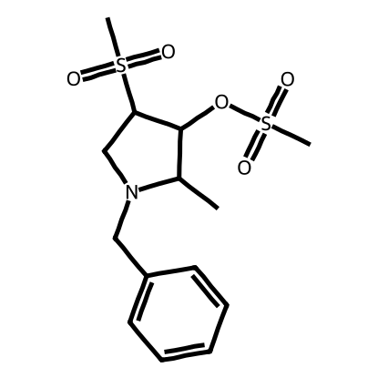 CC1C(OS(C)(=O)=O)C(S(C)(=O)=O)CN1Cc1ccccc1